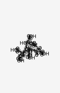 CN(CCCC(=O)NCCS(=O)(=O)O)S(=O)(=O)c1ccc(N(CCCS(=O)(=O)O)/C(O)=C/C=C2C=C(/C=C/C3=[N+](CCCS(=O)(=O)O)c4ccc(S(=O)(=O)O)cc4C3(C)C)CC(C(=O)NCCCCCC(=O)O)(C(=O)NCCS(=O)(=O)O)C/2)cc1